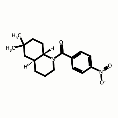 CC1(C)CC[C@H]2[C@@H](CCCN2C(=O)c2ccc([N+](=O)[O-])cc2)C1